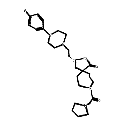 O=C(N1CCCC1)N1CCC2(CC1)C[C@H](CCN1CCN(c3ccc(F)cc3)CC1)OC2=O